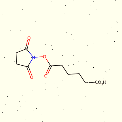 O=C(O)CCCCC(=O)ON1C(=O)CCC1=O